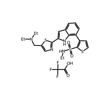 CCNS(=O)(=O)c1sccc1-c1cccc2cc(-c3ncc(CN(CC)CC)s3)[nH]c12.O=C(O)C(F)(F)F